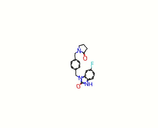 O=C1CCCN1Cc1ccc(Cn2c(=O)[nH]c3ccc(F)cc32)cc1